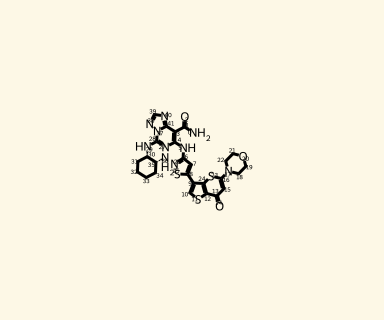 NC(=O)c1c(Nc2cc(-c3csc4c(=O)cc(N5CCOCC5)sc34)sn2)nc(N[C@H]2CCCC[C@H]2N)n2ncnc12